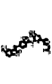 COc1ccc2c(c1)[C@]1(C[C@H]1c1ccc3c(Nc4nc(-c5cnn(CC(F)F)c5)cnc4OC)n[nH]c3c1)C(=O)N2